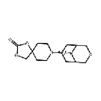 O=C1NCC2(CCN(C3CC4COCC(C3)N4C(=O)O)CC2)O1